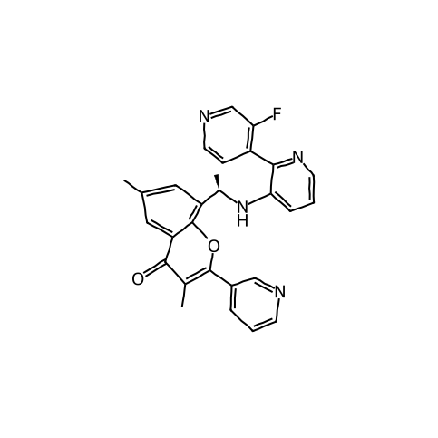 Cc1cc([C@@H](C)Nc2cccnc2-c2ccncc2F)c2oc(-c3cccnc3)c(C)c(=O)c2c1